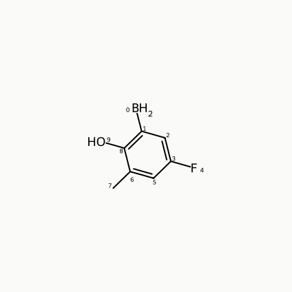 Bc1cc(F)cc(C)c1O